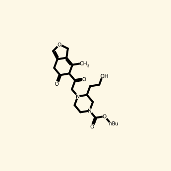 CCCCOC(=O)N1CCN(CC(=O)C2C(=O)CC3=COCC3=C2C)C(CCO)C1